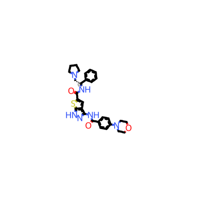 O=C(Nc1n[nH]c2sc(C(=O)N[C@H](CN3CCCC3)c3ccccc3)cc12)c1ccc(N2CCOCC2)cc1